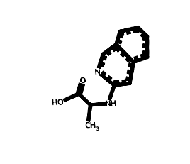 CC(Nc1cc2ccccc2cn1)C(=O)O